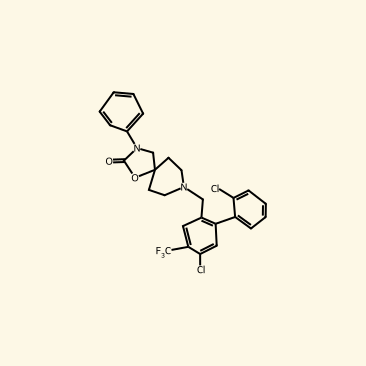 O=C1OC2(CCN(Cc3cc(C(F)(F)F)c(Cl)cc3-c3ccccc3Cl)CC2)CN1c1ccccc1